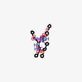 O=C(NCCC[C@@H]1NC(=O)[C@@H](NC(=O)OCc2ccccc2)Cc2cc(ccc2OCc2ccccc2)-c2cccc(c2)C[C@@H](C(=O)N[C@@H](Cc2ccc(OCc3ccccc3)cc2)C(=O)O)NC1=O)OCc1ccccc1